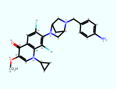 Nc1ccc(CN2CC3CC2CN3c2c(F)cc3c(=O)c(OC(=O)O)cn(C4CC4)c3c2F)cc1